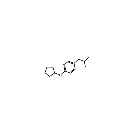 CC(C)Cc1ccc(OC2CCCC2)nc1